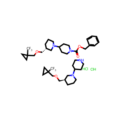 Cl.Cl.FC(F)(F)C1(COC[C@@H]2CCCN(C3CCNCC3)C2)CC1.O=C(OCc1ccccc1)N1CCC(N2CCC[C@@H](COCC3(C(F)(F)F)CC3)C2)CC1